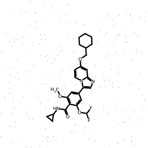 COc1cc(-c2cnc3cc(OCC4CCCCC4)ccn23)cc(OC(F)F)c1C(=O)NC1CC1